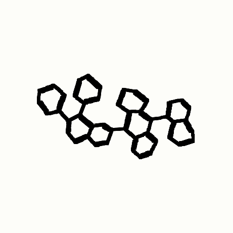 c1ccc(-c2ccc3ccc(-c4c5ccccc5c(-c5cccc6ccccc56)c5ccccc45)cc3c2-c2ccccc2)cc1